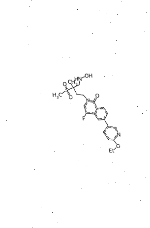 CCOc1ccc(-c2ccc3c(=O)n(CCC(C)(CNO)S(C)(=O)=O)cc(F)c3c2)cn1